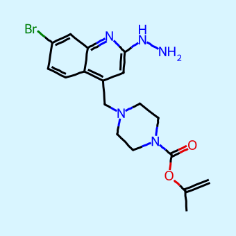 C=C(C)OC(=O)N1CCN(Cc2cc(NN)nc3cc(Br)ccc23)CC1